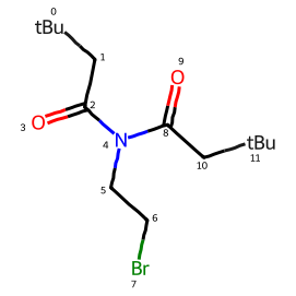 CC(C)(C)CC(=O)N(CCBr)C(=O)CC(C)(C)C